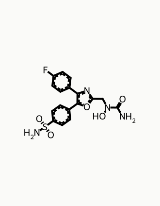 NC(=O)N(O)Cc1nc(-c2ccc(F)cc2)c(-c2ccc(S(N)(=O)=O)cc2)o1